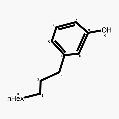 CCCCCCCCCc1cccc(O)c1